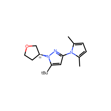 Cc1ccc(C)n1-c1cc(C(C)(C)C)n([C@H]2CCOC2)n1